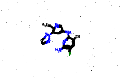 Cc1ncc(Nc2nc(N)c(F)cc2C#N)cc1-n1nccn1